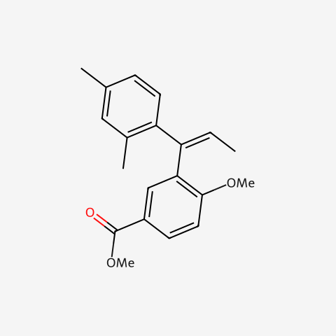 C/C=C(/c1ccc(C)cc1C)c1cc(C(=O)OC)ccc1OC